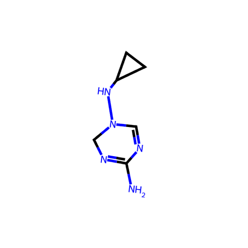 NC1=NCN(NC2CC2)C=N1